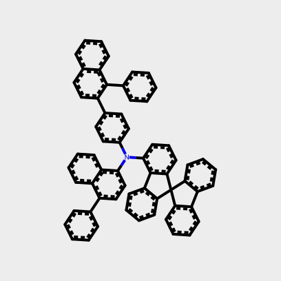 c1ccc(-c2c(-c3ccc(N(c4cccc5c4-c4ccccc4C54c5ccccc5-c5ccccc54)c4ccc(-c5ccccc5)c5ccccc45)cc3)ccc3ccccc23)cc1